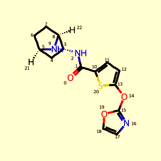 O=C(N[C@@H]1C[C@H]2CC[C@@H]1N2)c1ccc(Oc2ncco2)s1